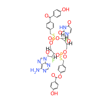 Nc1ncnc2c1ncn2[C@@H]1O[C@@H]2COP(=O)(SCc3ccc(C(=O)c4ccc(O)cc4)cc3)O[C@@H]3[C@H](F)[C@@H](COP(=O)(SCc4ccc(OC(=O)c5ccc(O)cc5)cc4)O[C@H]2[C@H]1F)O[C@H]3n1ccc(=O)[nH]c1=O